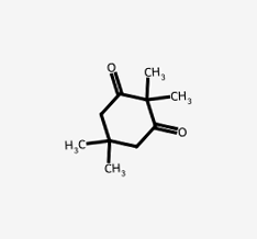 CC1(C)CC(=O)C(C)(C)C(=O)C1